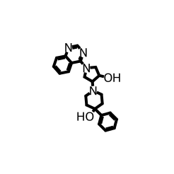 OC1CN(c2ncnc3ccccc23)CC1N1CCC(O)(c2ccccc2)CC1